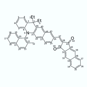 CCC1(CC)c2ccccc2N(c2c(C)ccc3ccccc23)c2cc3ccc(C=C4C(=O)c5cc6ccccc6cc5C4=O)cc3cc21